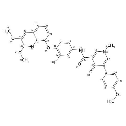 COc1ccc(-c2cn(C)cc(C(=O)Nc3ccc(Oc4ccnc5cc(OC)c(OC)nc45)c(F)c3)c2=O)cc1